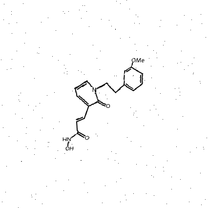 COc1cccc(CCn2cccc(/C=C/C(=O)NO)c2=O)c1